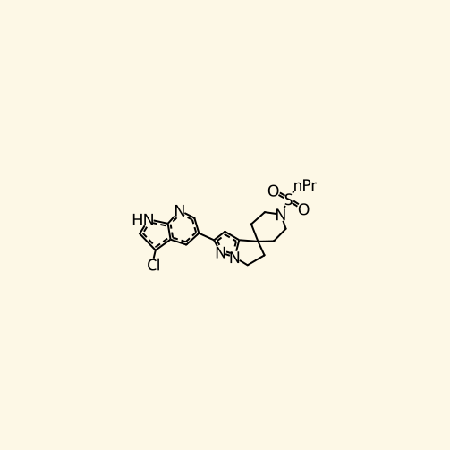 CCCS(=O)(=O)N1CCC2(CC1)CCn1nc(-c3cnc4[nH]cc(Cl)c4c3)cc12